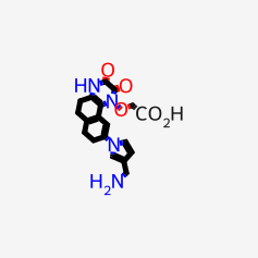 NCc1ccn(C2=CC3=C(CC2)CCc2[nH]c(=O)c(=O)n(OCC(=O)O)c23)c1